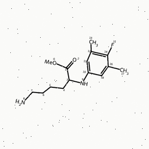 COC(=O)C(CCCCN)Nc1cc(C)c(F)c(C)c1